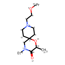 CCN1CC2(CCN(CCOC(C)C)CC2)OC(C)C1=O